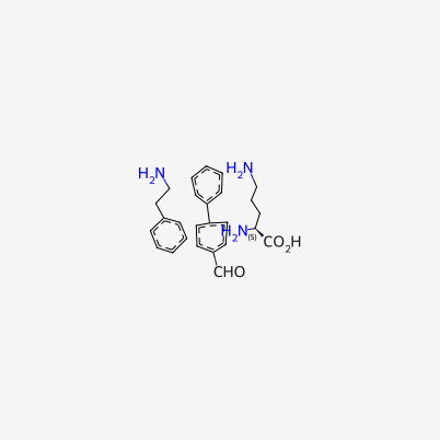 NCCC[C@H](N)C(=O)O.NCCc1ccccc1.O=Cc1ccc(-c2ccccc2)cc1